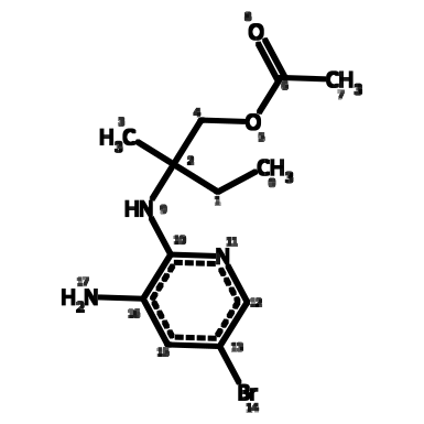 CCC(C)(COC(C)=O)Nc1ncc(Br)cc1N